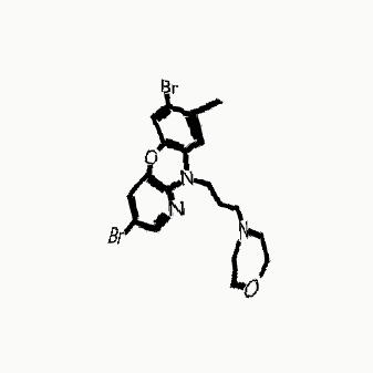 Cc1cc2c(cc1Br)Oc1cc(Br)cnc1N2CCCN1CCOCC1